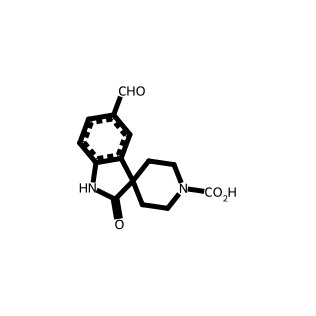 O=Cc1ccc2c(c1)C1(CCN(C(=O)O)CC1)C(=O)N2